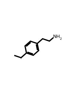 C[CH]c1ccc(CCN)cc1